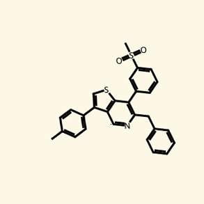 Cc1ccc(-c2csc3c(-c4cccc(S(C)(=O)=O)c4)c(Cc4ccccc4)n[c]c23)cc1